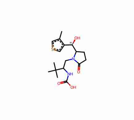 Cc1cscc1[C@@H](O)C1CCC(=O)N1CC(NC(=O)O)C(C)(C)C